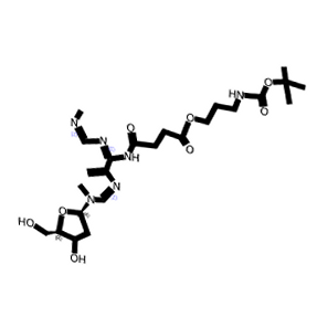 C=C(/N=C\N(C)[C@H]1CC(O)[C@@H](CO)O1)/C(=N\C=N/C)NC(=O)CCC(=O)OCCCNC(=O)OC(C)(C)C